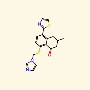 CC1CC(=O)c2c(SCn3ccnc3)ccc(-c3nccs3)c2C1